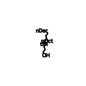 CCCCCCCCCCCCCCCCCCO.CCCCCCCCO